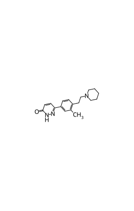 Cc1cc(-c2ccc(=O)[nH]n2)ccc1CCN1CCCCC1